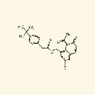 CC(C)(C)c1ccc(CC(=O)NCc2cc(Cl)cc3ccc(=O)n(C(=O)O)c23)cc1